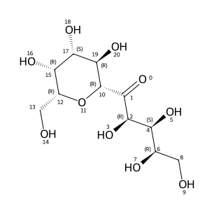 O=C([C@H](O)[C@@H](O)[C@H](O)CO)[C@@H]1O[C@H](CO)[C@H](O)[C@H](O)[C@H]1O